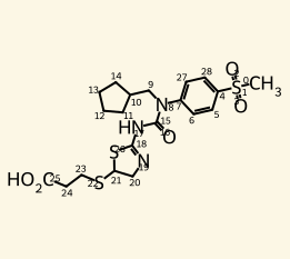 CS(=O)(=O)c1ccc(N(CC2CCCC2)C(=O)NC2=NCC(SCCC(=O)O)S2)cc1